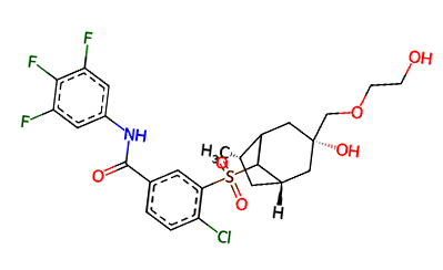 C[C@H]1C[C@H]2C[C@](O)(COCCO)CC1C2S(=O)(=O)c1cc(C(=O)Nc2cc(F)c(F)c(F)c2)ccc1Cl